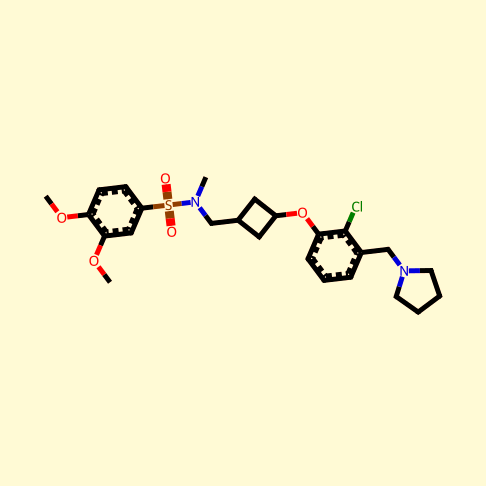 COc1ccc(S(=O)(=O)N(C)CC2CC(Oc3cccc(CN4CCCC4)c3Cl)C2)cc1OC